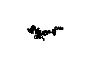 CO[C@@H]1C[C@@H](COc2ccc(Nc3nc(C)c(-c4cccc5c4ncn5C)nc3C(N)=O)cc2)N(C)C1